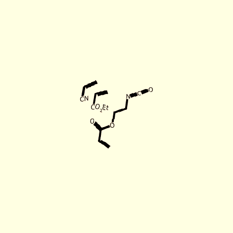 C=CC#N.C=CC(=O)OCC.C=CC(=O)OCCN=C=O